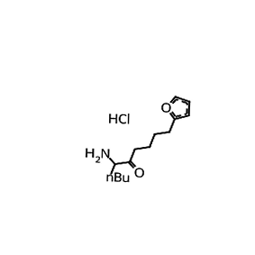 CCCCC(N)C(=O)CCCCc1ccco1.Cl